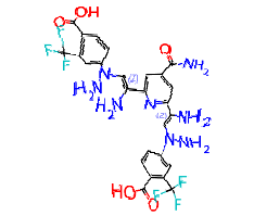 NC(=O)c1cc(/C(N)=C/N(N)c2ccc(C(=O)O)c(C(F)(F)F)c2)nc(/C(N)=C/N(N)c2ccc(C(=O)O)c(C(F)(F)F)c2)c1